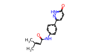 CC(C)=CC(=O)Nc1ccc(-c2ccc(=O)[nH]n2)cc1